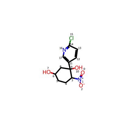 O=[N+]([O-])C1CCC(O)CC1(O)c1ccc(Cl)nc1